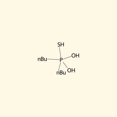 CCCCP(O)(O)(S)CCCC